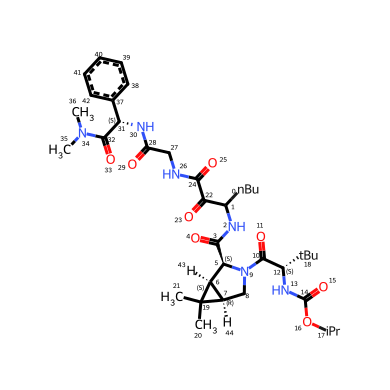 CCCCC(NC(=O)[C@@H]1[C@H]2[C@@H](CN1C(=O)[C@@H](NC(=O)OC(C)C)C(C)(C)C)C2(C)C)C(=O)C(=O)NCC(=O)N[C@H](C(=O)N(C)C)c1ccccc1